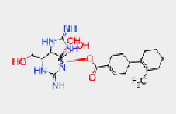 N=C1NC2[C@H](CO)NC(=N)N3C[C@H](OC(=O)C4=CC[C@H](C5=C(C(F)(F)F)CCCC5)CC4)C(O)(O)C23N1